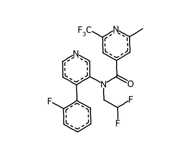 Cc1cc(C(=O)N(CC(F)F)c2cnccc2-c2ccccc2F)cc(C(F)(F)F)n1